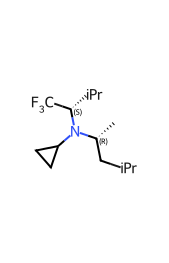 CC(C)C[C@@H](C)N(C1CC1)[C@@H](C(C)C)C(F)(F)F